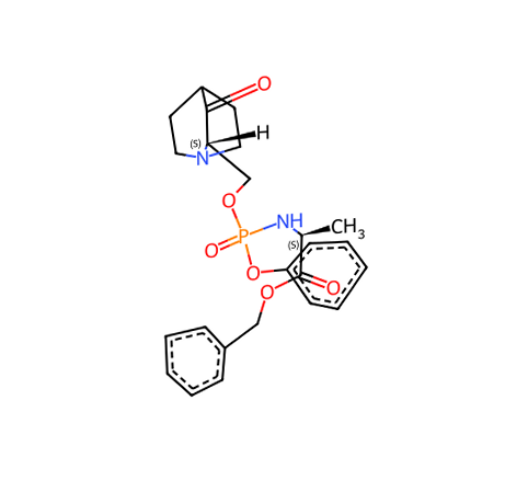 C[C@H](NP(=O)(OC[C@H]1C(=O)C2CCN1CC2)Oc1ccccc1)C(=O)OCc1ccccc1